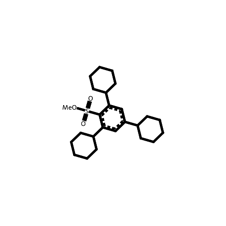 COS(=O)(=O)c1c(C2CCCCC2)cc(C2CCCCC2)cc1C1CCCCC1